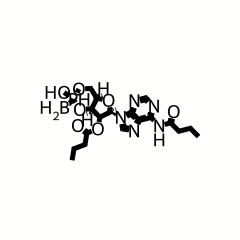 B[PH]1(O)OC[C@H]2O[C@@H](n3cnc4c(NC(=O)CCC)ncnc43)C(OC(=O)CCC)[C@H]2O1